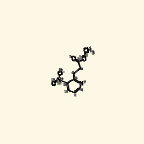 COC(=O)CCc1ncccc1[N+](=O)[O-]